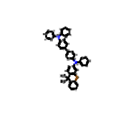 CC1(C)c2ccccc2Sc2cc(N(c3ccccc3)c3ccc(-c4ccc5c(c4)c4ccccc4n5-c4ccccc4)cc3)ccc21